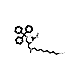 CCCCCCCCCCCCCCCCCCN(C)CC(COC(c1ccccc1)(c1ccccc1)c1ccccc1)OC(=O)NCC